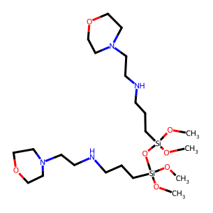 CO[Si](CCCNCCN1CCOCC1)(OC)O[Si](CCCNCCN1CCOCC1)(OC)OC